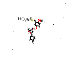 CCOc1ccc(OCc2cc(-c3ccc(C(F)(F)F)cc3)oc2C)cc1CSCC(=O)O